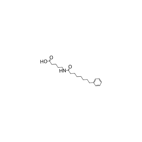 O=C(O)CCCCNC(=O)CCCCCCCc1ccccc1